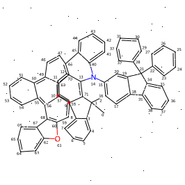 CC1(C)c2ccccc2-c2cccc(N(c3ccc4c(c3)C(c3ccccc3)(c3ccccc3)c3ccccc3-4)c3ccccc3-c3ccc4c5ccccc5c5c(ccc6oc7ccccc7c65)c4c3)c21